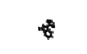 NC(=O)c1[c][nH]c2ccccc12